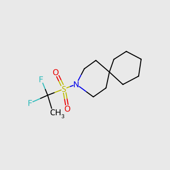 CC(F)(F)S(=O)(=O)N1CCC2(CCCCC2)CC1